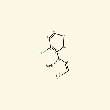 C/C=C\C(NC)C1=C(F)C=CCC1